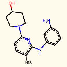 Nc1cccc(Nc2nc(N3CCC(O)CC3)ccc2[N+](=O)[O-])c1